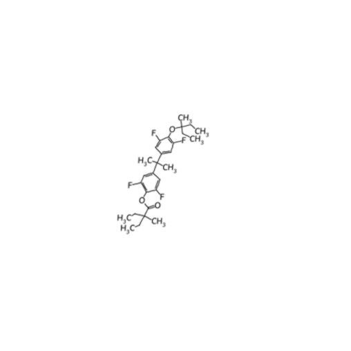 CCC(C)(CC)Oc1c(F)cc(C(C)(C)c2cc(F)c(OC(=O)C(C)(CC)CC)c(F)c2)cc1F